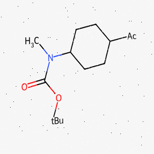 CC(=O)C1CCC(N(C)C(=O)OC(C)(C)C)CC1